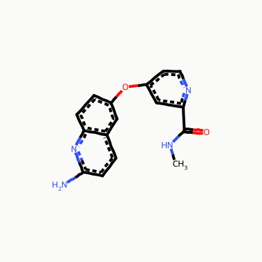 CNC(=O)c1cc(Oc2ccc3nc(N)ccc3c2)ccn1